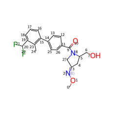 CO/N=C1\CC(CO)N(C(=O)c2ccc(-c3cccc(C(F)F)c3C)cc2)C1